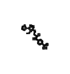 CCn1c(SCC(=O)Nc2ccc(C(=O)O)cc2)nnc1-c1cccs1